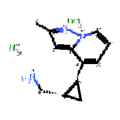 Cc1cc2c([C@H]3C[C@@H]3CN)cccn2n1.Cl.Cl